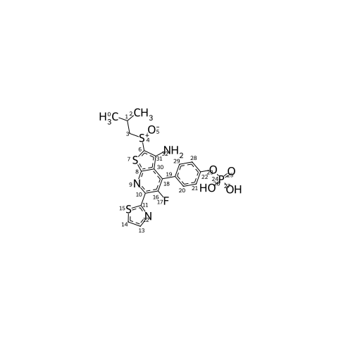 CC(C)C[S+]([O-])c1sc2nc(-c3nccs3)c(F)c(-c3ccc(OP(=O)(O)O)cc3)c2c1N